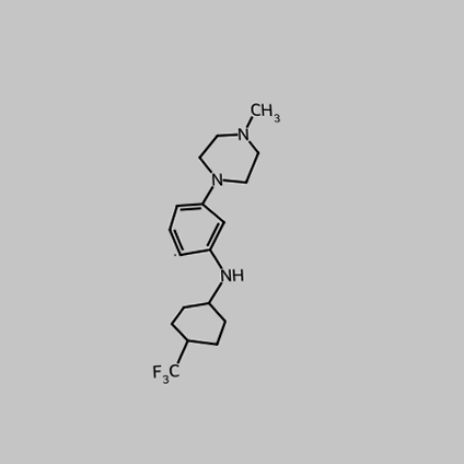 CN1CCN(c2cc[c]c(NC3CCC(C(F)(F)F)CC3)c2)CC1